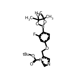 CC(C)(C)OC(=O)n1cncc1COc1ccc(B2OC(C)(C)C(C)(C)O2)c(F)c1